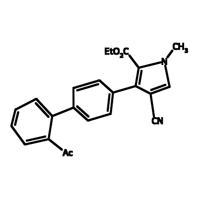 CCOC(=O)c1c(-c2ccc(-c3ccccc3C(C)=O)cc2)c(C#N)cn1C